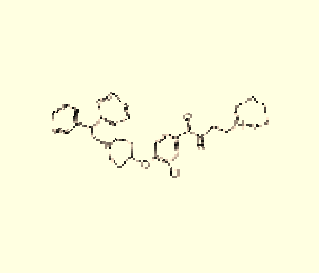 O=C(NCCN1CCCCC1)c1ccc(OC2CCN(CC(c3ccccc3)c3ccccc3)CC2)c(Cl)c1